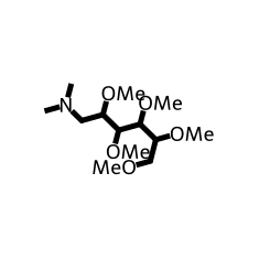 COCC(OC)C(OC)C(OC)C(CN(C)C)OC